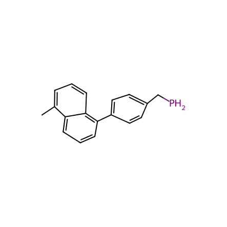 Cc1cccc2c(-c3ccc(CP)cc3)cccc12